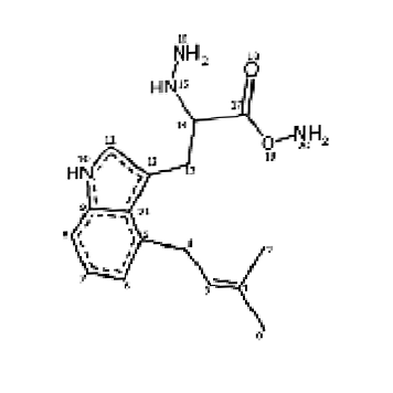 CC(C)=CCc1cccc2[nH]cc(CC(NN)C(=O)ON)c12